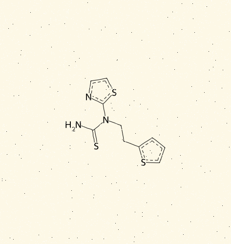 NC(=S)N(CCc1cccs1)c1nccs1